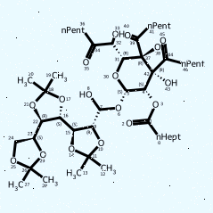 CCCCCCCC(=O)O[C@@H]1[C@H](OC(O)[C@@H]2OC(C)(C)O[C@H]2[C@H]2OC(C)(C)O[C@@H]2[C@@H]2COC(C)(C)O2)O[C@H](C(O)C(=O)CCCCC)[C@](O)(C(=O)CCCCC)[C@@]1(O)C(=O)CCCCC